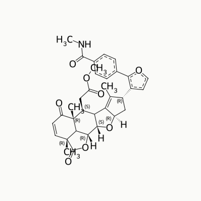 CNC(=O)c1ccc(-c2occc2[C@@H]2C[C@H]3O[C@H]4C(C3=C2C)[C@H](CC(=O)OC)[C@@]2(C)C(=O)C=C[C@@]3(C)C(=O)O[C@@H]4C32)cc1